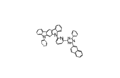 C1=CC(n2c3ccccc3c3cc4c5ccccc5n(-c5cccc(-c6nc(-c7ccccc7)nc(-c7ccc8ccccc8c7)n6)n5)c4cc32)=CCC1